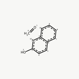 C=O.Oc1ccc2ccccc2n1